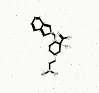 N[C@]1(C(=O)O)C[C@H](CCB(O)O)CC[C@H]1Cn1cc2ccccc2c1